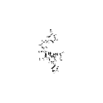 CC(=O)Nc1cc(-c2ccoc2)cn2c(Cl)c(C(=O)N3CCC(c4cccc(F)c4)C3)nc12